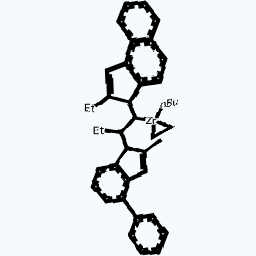 CCC[CH2][Zr]1([CH](C2C(CC)=Cc3c2ccc2ccccc32)C(CC)C2C(C)=Cc3c(-c4ccccc4)cccc32)[CH2][CH2]1